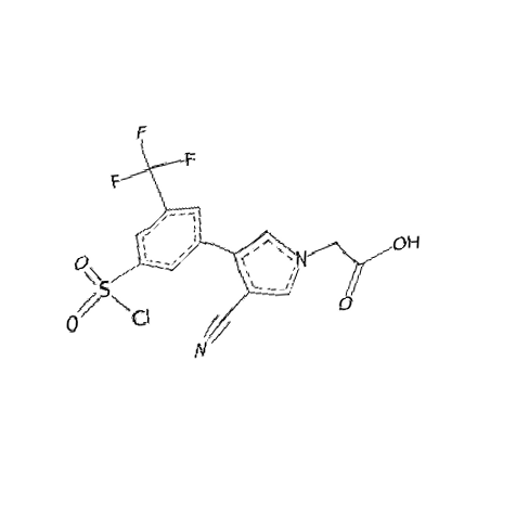 N#Cc1cn(CC(=O)O)cc1-c1cc(C(F)(F)F)cc(S(=O)(=O)Cl)c1